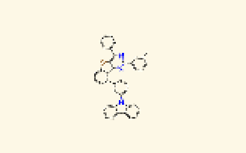 Cc1cccc(-c2nc(-c3ccccc3)c3sc4cccc(-c5cccc(-n6c7ccccc7c7ccccc76)c5)c4c3n2)c1